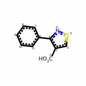 O=C(O)c1csnc1-c1ccccc1